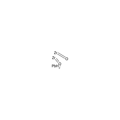 [O]=[Zr].[O]=[Zr].[PbH2]